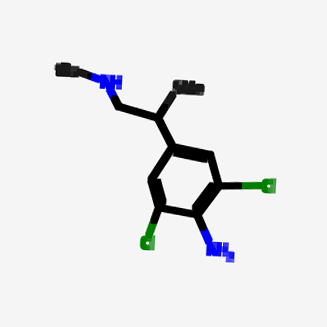 CSC(CNC(C)(C)C)c1cc(Cl)c(N)c(Cl)c1